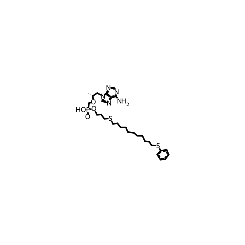 C[C@H](Cn1cnc2c(N)ncnc21)OCP(=O)(O)OCCCSCCCCCCCCCCCSc1ccccc1